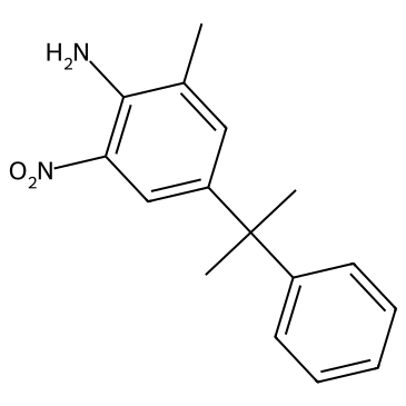 Cc1cc(C(C)(C)c2ccccc2)cc([N+](=O)[O-])c1N